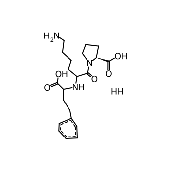 NCCCCC(NC(CCc1ccccc1)C(=O)O)C(=O)N1CCC[C@H]1C(=O)O.[HH]